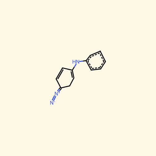 [N-]=[N+]=C1C=CC(Nc2ccccc2)=CC1